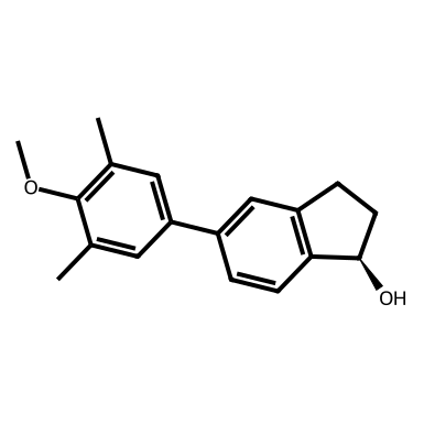 COc1c(C)cc(-c2ccc3c(c2)CC[C@H]3O)cc1C